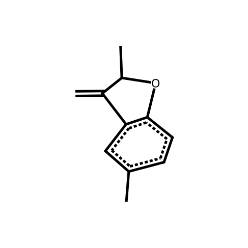 C=C1c2cc(C)ccc2OC1C